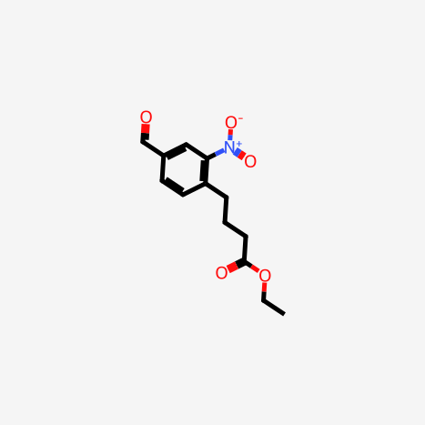 CCOC(=O)CCCc1ccc(C=O)cc1[N+](=O)[O-]